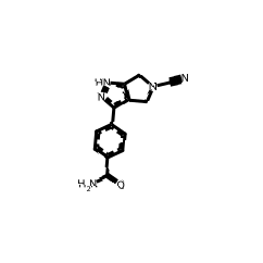 N#CN1Cc2[nH]nc(-c3ccc(C(N)=O)cc3)c2C1